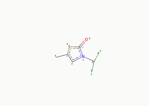 Cc1cn(C(F)F)c(=O)s1